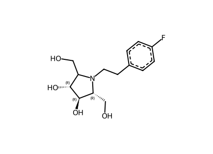 OCC1[C@@H](O)[C@H](O)[C@@H](CO)N1CCc1ccc(F)cc1